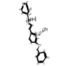 C(/Cc1ccc(OCc2ccccc2)cc1)=N\Nc1ccncc1.Cl.O